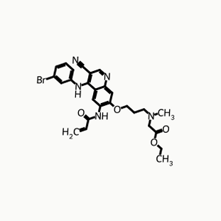 C=CC(=O)Nc1cc2c(Nc3cccc(Br)c3)c(C#N)cnc2cc1OCCCN(C)CC(=O)OCC